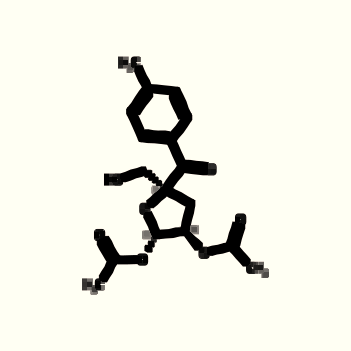 CC(=O)O[C@@H]1O[C@@](CO)(C(=O)c2ccc(C)cc2)C[C@H]1OC(C)=O